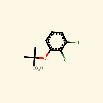 CC(C)(Oc1cccc(Cl)c1Cl)C(=O)O